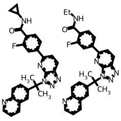 CC(C)(c1ccc2ncccc2c1)n1nnc2ccc(-c3ccc(C(=O)NC4CC4)c(F)c3)nc21.CCNC(=O)c1ccc(-c2ccc3nnn(C(C)(C)c4ccc5ncccc5c4)c3n2)cc1F